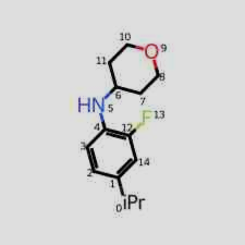 CC(C)c1ccc(NC2CCOCC2)c(F)c1